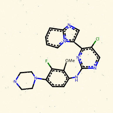 COc1c(Nc2ncc(Cl)c(-c3cnc4ccccn34)n2)ccc(N2CC[N]CC2)c1F